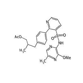 COc1nc(C)cnc1NS(=O)(=O)c1cccnc1-c1ccc(CC(C)COC(C)=O)cc1